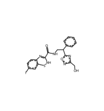 O=C(NCC(c1ccccc1)c1nc(CO)no1)C1=Nc2ccc(I)cc2SN1